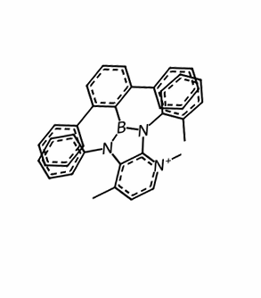 Cc1ccccc1N1B(c2c(-c3ccccc3)cccc2-c2ccccc2)N(c2ccccc2)c2c(C)cc[n+](C)c21